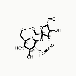 OC[C@H]1O[C@@](CO)(O[C@H]2O[C@H](CO)[C@@H](O)[C@H](O)[C@H]2O)[C@@H](O)[C@@H]1O.[O]=[Ti]=[O]